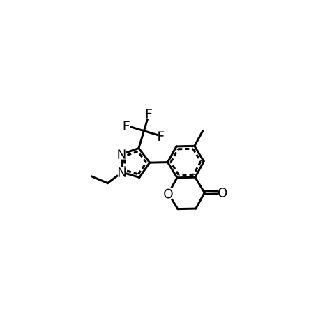 CCn1cc(-c2cc(C)cc3c2OCCC3=O)c(C(F)(F)F)n1